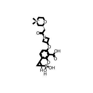 C[N+]1(C)CCO[C@H](CC(=O)N2CC(Oc3ccc4c(c3C(=O)O)O[B-](O)(O)[C@@H]3CC43)C2)C1